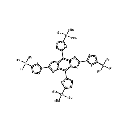 CCC[CH2][Sn]([CH2]CCC)([CH2]CCC)[c]1ccc(-c2c3nc(-c4ccc([Si](C(C)C)(C(C)C)C(C)C)s4)sc3c(-c3cc[c]([Sn]([CH2]CCC)([CH2]CCC)[CH2]CCC)s3)c3nc(-c4ccc([Si](C(C)C)(C(C)C)C(C)C)s4)sc23)s1